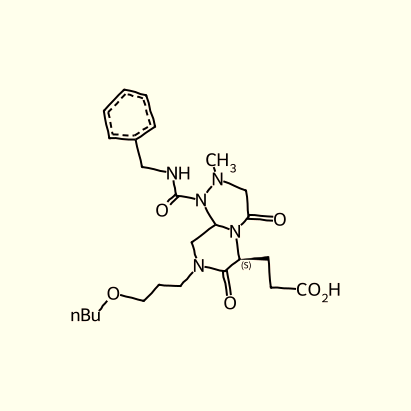 CCCCOCCCN1CC2N(C(=O)CN(C)N2C(=O)NCc2ccccc2)[C@@H](CCC(=O)O)C1=O